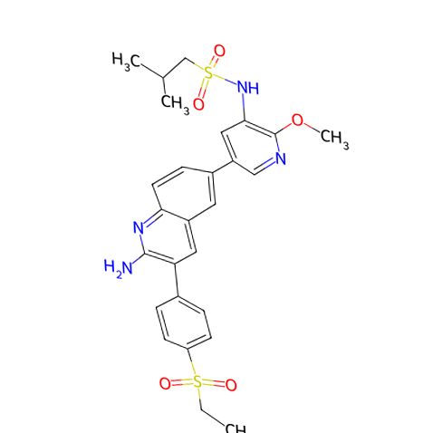 CCS(=O)(=O)c1ccc(-c2cc3cc(-c4cnc(OC)c(NS(=O)(=O)CC(C)C)c4)ccc3nc2N)cc1